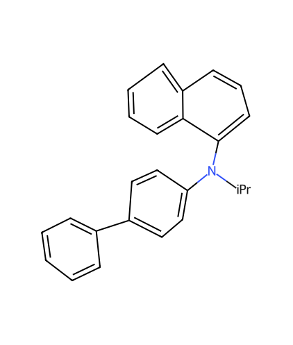 CC(C)N(c1ccc(-c2ccccc2)cc1)c1cccc2ccccc12